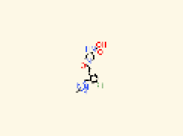 Cc1nnn(Cc2cc(Cl)ccc2/C=C/C(=O)N2CCC(NC(=O)O)CC2)n1